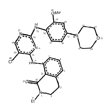 CCN1CCc2cccc(Nc3nc(Nc4ccc(N5CCOCC5)cc4OC)ncc3Cl)c2C1=O